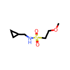 COCCS(=O)(=O)NCC1CC1